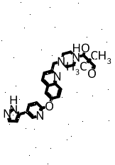 CC(C)(C=O)C(O)N1CCN(Cc2ccc3cc(Oc4ccc(-c5ccn[nH]5)cn4)ccc3n2)CC1